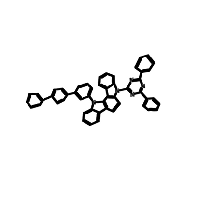 c1ccc(-c2ccc(-c3cccc(-n4c5ccccc5c5ccc6c(c7ccccc7n6-c6nc(-c7ccccc7)nc(-c7ccccc7)n6)c54)c3)cc2)cc1